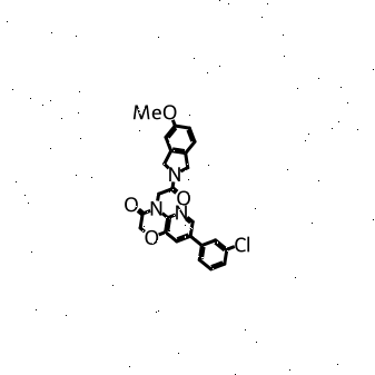 COc1ccc2c(c1)CN(C(=O)CN1C(=O)COc3cc(-c4cccc(Cl)c4)cnc31)C2